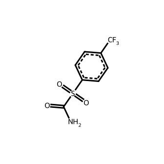 NC(=O)S(=O)(=O)c1ccc(C(F)(F)F)cc1